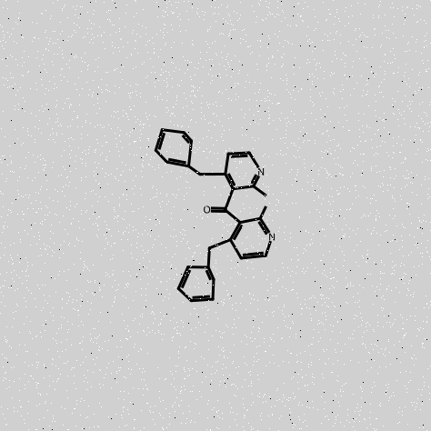 Cc1nccc(Cc2ccccc2)c1C(=O)c1c(Cc2ccccc2)ccnc1C